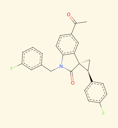 CC(=O)c1ccc2c(c1)[C@]1(C[C@H]1c1ccc(F)cc1)C(=O)N2Cc1cccc(F)c1